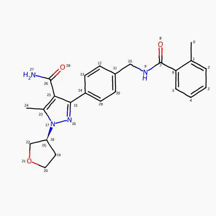 Cc1ccccc1C(=O)NCc1ccc(-c2nn([C@H]3CCOC3)c(C)c2C(N)=O)cc1